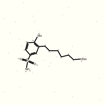 CCCCCCCCCCCCCCCCc1cc(S(N)(=O)=O)ccc1C(C)(C)C